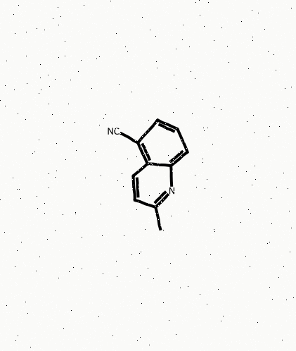 [CH2]c1ccc2c(C#N)cccc2n1